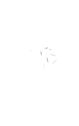 Clc1cnc2cc(I)cc(Cl)c2c1